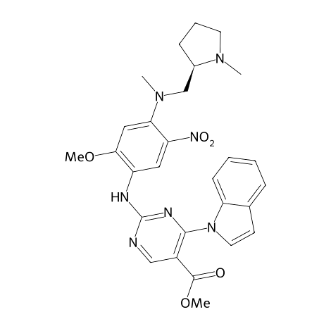 COC(=O)c1cnc(Nc2cc([N+](=O)[O-])c(N(C)C[C@H]3CCCN3C)cc2OC)nc1-n1ccc2ccccc21